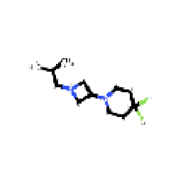 CC(C)CN1CC(N2CCC(F)(F)CC2)C1